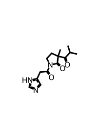 CC(C)C(=O)C1(C)CCN(C(=O)Cc2cnc[nH]2)C1=O